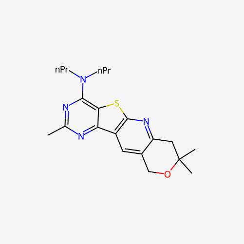 CCCN(CCC)c1nc(C)nc2c1sc1nc3c(cc12)COC(C)(C)C3